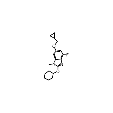 Cn1c(OC2CCCCC2)nc2c(F)cc(OCC3CC3)cc21